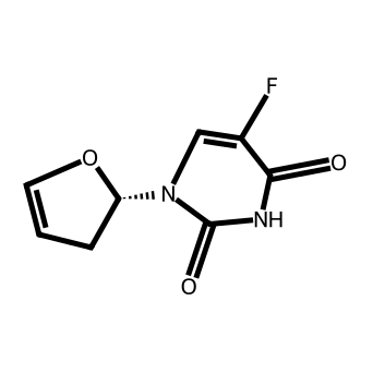 O=c1[nH]c(=O)n([C@@H]2CC=CO2)cc1F